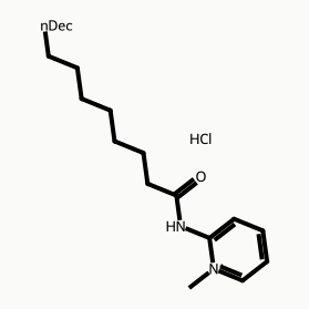 CCCCCCCCCCCCCCCCCC(=O)Nc1cccc[n+]1C.Cl